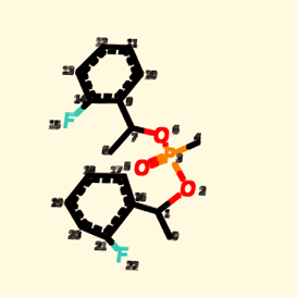 CC(OP(C)(=O)OC(C)c1ccccc1F)c1ccccc1F